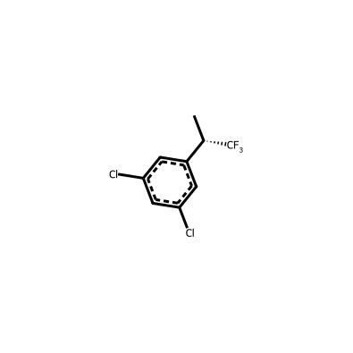 C[C@@H](c1cc(Cl)cc(Cl)c1)C(F)(F)F